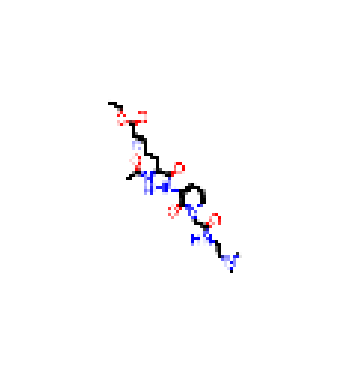 CCOC(=O)/C=C/CC[C@H](NC(C)=O)C(=O)Nc1cccn(CC(=O)NCCN(C)C)c1=O